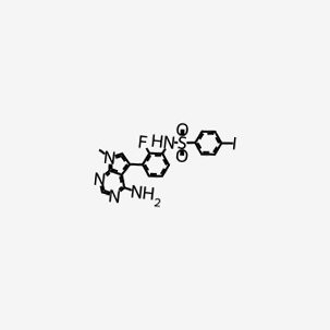 Cn1cc(-c2cccc(NS(=O)(=O)c3ccc(I)cc3)c2F)c2c(N)ncnc21